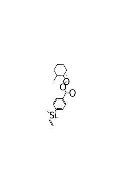 C=C[Si](C)(C)c1ccc(C(=O)OO[C]2CCCCC2C)cc1